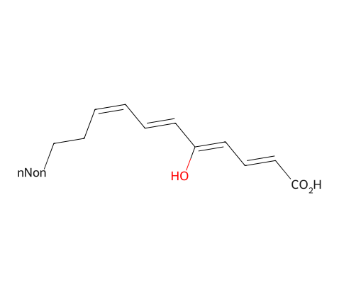 CCCCCCCCCCC/C=C\C=C\C(O)=CC=CC(=O)O